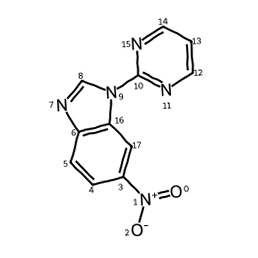 O=[N+]([O-])c1ccc2ncn(-c3ncccn3)c2c1